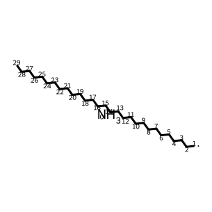 N.[CH2]CCCCCCCCCCCCCCCCCCCCCCCCCCCC